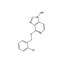 CCCn1cnc2c(SCc3ccccc3Cl)nccc21